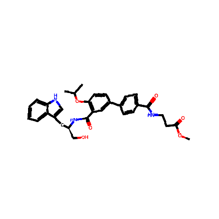 COC(=O)CCNC(=O)c1ccc(-c2ccc(OC(C)C)c(C(=O)N[C@@H](CO)Cc3c[nH]c4ccccc34)c2)cc1